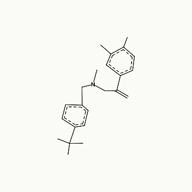 C=C(CN(C)Cc1ccc(C(C)(C)C)cc1)c1ccc(C)c(C)c1